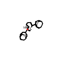 C1CC2CCC(C3CC4CCC(C5CCC6CCC(C5)NC6)C(CNC4)C3)C(C1)OC2